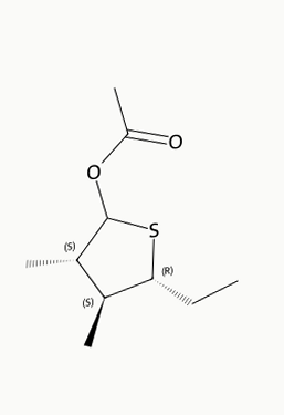 CC[C@H]1SC(OC(C)=O)[C@@H](C)[C@@H]1C